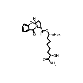 CCCCCC[C@H](CCCCC[C@@H](O)C(N)=O)OC(=O)[C@@H]1CC[C@H]2Oc3ccccc3C(=O)N21